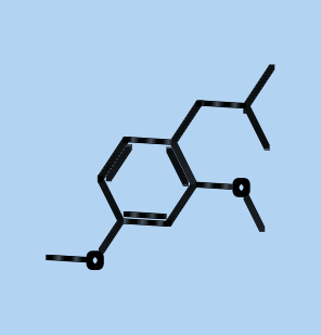 COc1ccc(C[C](C)C)c(OC)c1